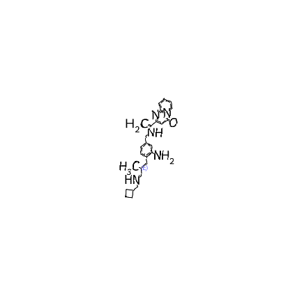 C=C(NCc1ccc(/C=C(\C)CNCC2CCC2)c(N)c1)c1cc(=O)n2ccccc2n1